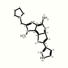 Cn1c(CN2CCCC2)nc2c(N)nc3cc(-c4cc[nH]n4)sc3c21